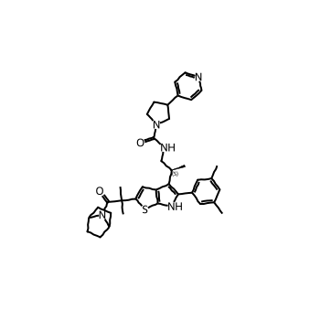 Cc1cc(C)cc(-c2[nH]c3sc(C(C)(C)C(=O)N4C5CCC4CC5)cc3c2[C@H](C)CNC(=O)N2CCC(c3ccncc3)C2)c1